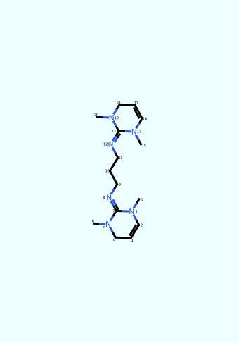 CN1C=CCN(C)C1=NCCCN=C1N(C)C=CCN1C